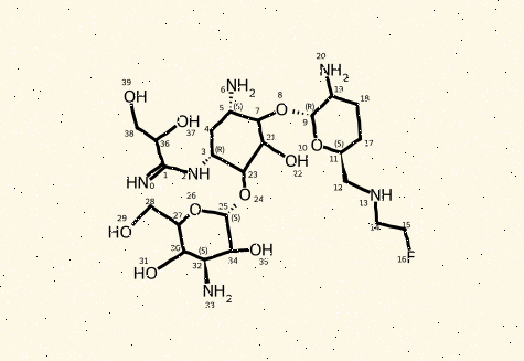 N=C(N[C@@H]1C[C@H](N)C(O[C@H]2O[C@H](CNCCF)CCC2N)C(O)C1O[C@H]1OC(CO)C(O)[C@H](N)C1O)C(O)CO